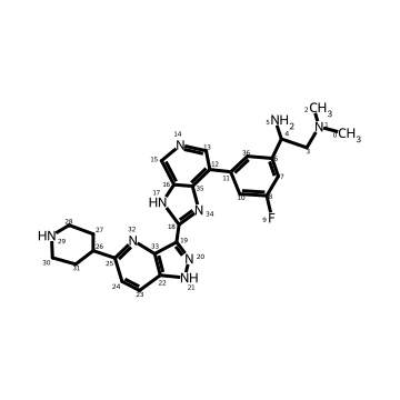 CN(C)CC(N)c1cc(F)cc(-c2cncc3[nH]c(-c4n[nH]c5ccc(C6CCNCC6)nc45)nc23)c1